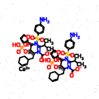 CC(C)CN([C@H](c1ccco1)[C@H](OP(=O)(O)O)[C@H](CC1C=CCCC1)NC(=O)[O-])S(=O)(=O)c1ccc(N)cc1.CC(C)CN([C@H](c1ccco1)[C@H](OP(=O)(O)O)[C@H](CC1C=CCCC1)NC(=O)[O-])S(=O)(=O)c1ccc(N)cc1.[Ca+2]